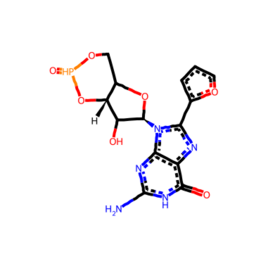 Nc1nc2c(nc(-c3ccco3)n2[C@@H]2OC3CO[PH](=O)O[C@H]3C2O)c(=O)[nH]1